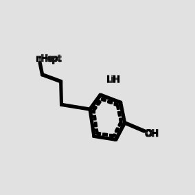 CCCCCCCCCCc1ccc(O)cc1.[LiH]